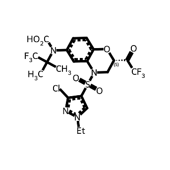 CCn1cc(S(=O)(=O)N2C[C@@H](C(=O)C(F)(F)F)Oc3ccc(N(C(=O)O)C(C)(C)C(F)(F)F)cc32)c(Cl)n1